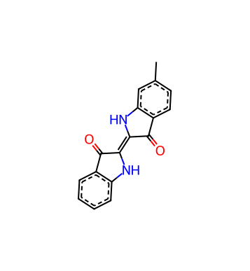 Cc1ccc2c(c1)N/C(=C1/Nc3ccccc3C1=O)C2=O